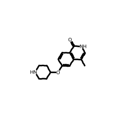 Cc1c[nH]c(=O)c2ccc(OC3CCNCC3)cc12